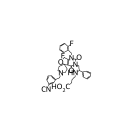 N#Cc1cccc(CN2CCC3(CC2)OCc2c3c(=O)n(CC(NCCCC(=O)O)c3ccccc3)c(=O)n2Cc2c(F)cccc2F)c1